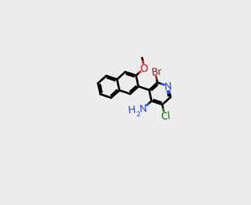 COc1cc2ccccc2cc1-c1c(Br)ncc(Cl)c1N